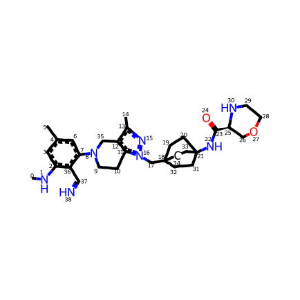 CNc1cc(C)cc(N2CCc3c(c(C)nn3CC34CCC(NC(=O)[C@@H]5COCCN5)(CC3)CC4)C2)c1C=N